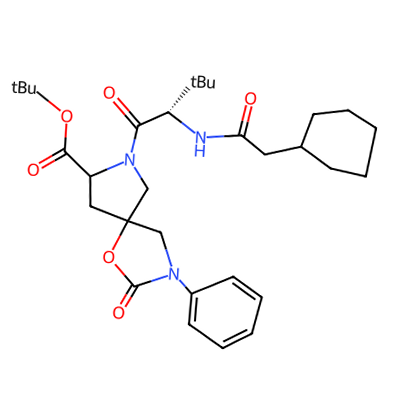 CC(C)(C)OC(=O)C1CC2(CN(c3ccccc3)C(=O)O2)CN1C(=O)[C@@H](NC(=O)CC1CCCCC1)C(C)(C)C